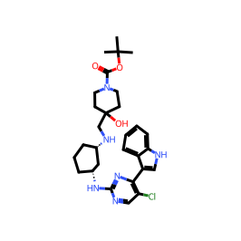 CC(C)(C)OC(=O)N1CCC(O)(CN[C@H]2CCC[C@@H](Nc3ncc(Cl)c(-c4c[nH]c5ccccc45)n3)C2)CC1